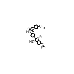 CC(C)n1c(-c2ccc(NS(=O)(=O)Cc3ccc(C(F)(F)F)cc3)cc2)c(C#N)c2ccc(OC(F)F)cc21